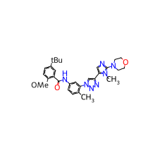 COc1ccc(C(C)(C)C)cc1C(=O)Nc1ccc(C)c(-n2cc(-c3cnc(N4CCOCC4)n3C)nn2)c1